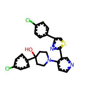 OC1(c2ccc(Cl)cc2)CCN(c2ccncc2-c2nc(-c3ccc(Cl)cc3)cs2)CC1